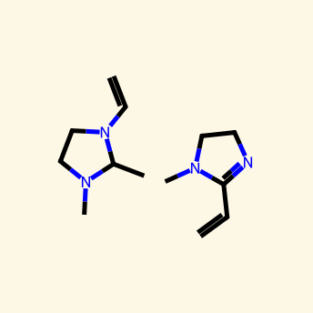 C=CC1=NCCN1C.C=CN1CCN(C)C1C